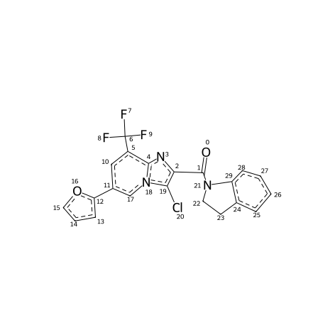 O=C(c1nc2c(C(F)(F)F)cc(-c3ccco3)cn2c1Cl)N1CCc2ccccc21